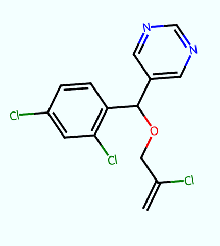 C=C(Cl)COC(c1cncnc1)c1ccc(Cl)cc1Cl